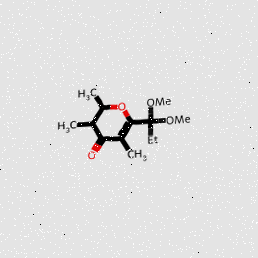 CCC(OC)(OC)C1=C(C)C(=O)C(C)C(C)O1